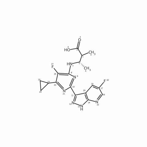 CC(C(=O)O)[C@H](C)Nc1nc(-c2n[nH]c3ncc(F)cc23)nc(C2CC2)c1F